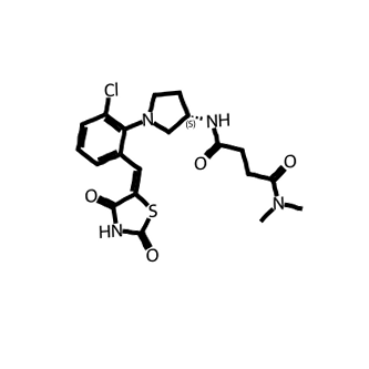 CN(C)C(=O)CCC(=O)N[C@H]1CCN(c2c(Cl)cccc2C=C2SC(=O)NC2=O)C1